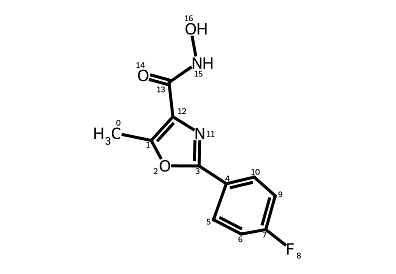 Cc1oc(-c2ccc(F)cc2)nc1C(=O)NO